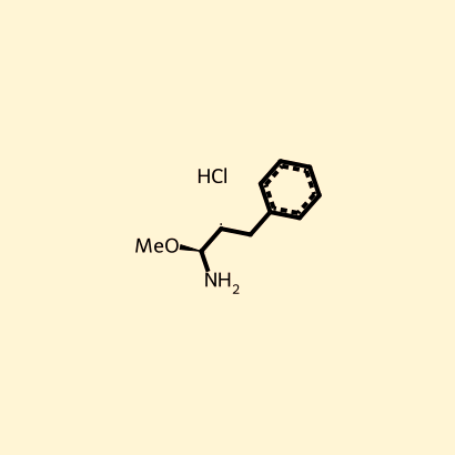 CO[C@H](N)[CH]Cc1ccccc1.Cl